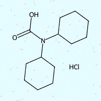 Cl.O=C(O)N(C1CCCCC1)C1CCCCC1